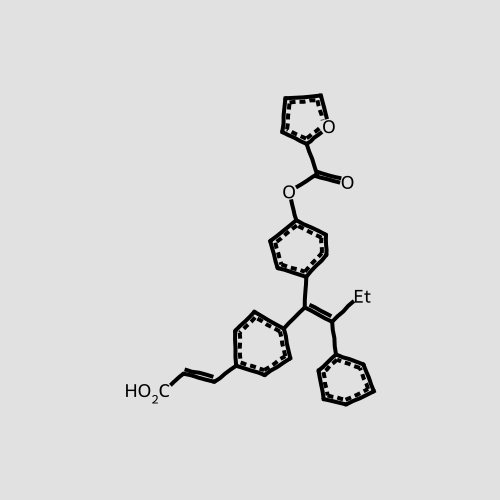 CCC(=C(c1ccc(C=CC(=O)O)cc1)c1ccc(OC(=O)c2ccco2)cc1)c1ccccc1